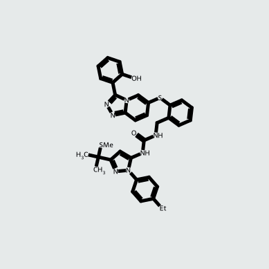 CCc1ccc(-n2nc(C(C)(C)SC)cc2NC(=O)NCc2ccccc2Sc2ccc3nnc(-c4ccccc4O)n3c2)cc1